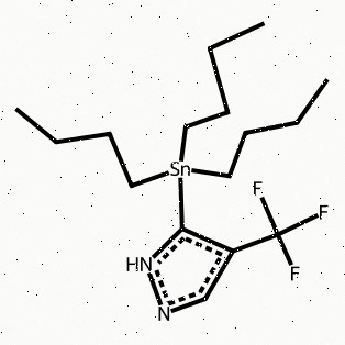 CCC[CH2][Sn]([CH2]CCC)([CH2]CCC)[c]1[nH]ncc1C(F)(F)F